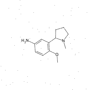 COc1ccc(N)cc1C1CCCN1C